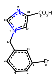 CCc1cccc(Cn2cnc(C(=O)O)c2)c1